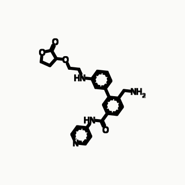 NCc1ccc(C(=O)Nc2ccncc2)cc1-c1cccc(NCCOC2CCOC2=O)c1